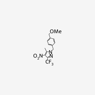 COCc1ccc(Cn2nc(C(F)(F)F)c([N+](=O)[O-])c2C)cc1